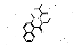 CCN(OC(=S)C(C)C)C(=O)c1c(OC)ccc2ccccc12